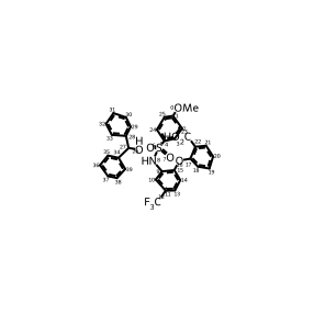 COc1ccc(S(=O)(=O)Nc2cc(C(F)(F)F)ccc2Oc2ccccc2C(=O)O)cc1.OC(c1ccccc1)c1ccccc1